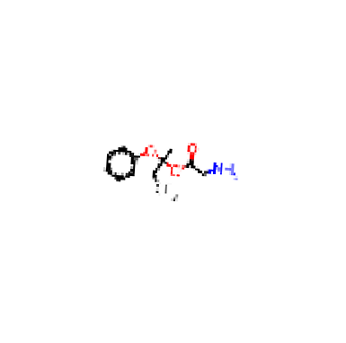 CC(CC(F)(F)F)(OC(=O)CN)Oc1ccccc1